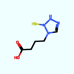 O=C(O)CCCN1C=NNN1S